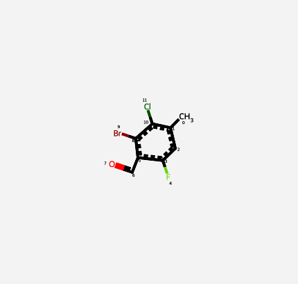 Cc1cc(F)c(C=O)c(Br)c1Cl